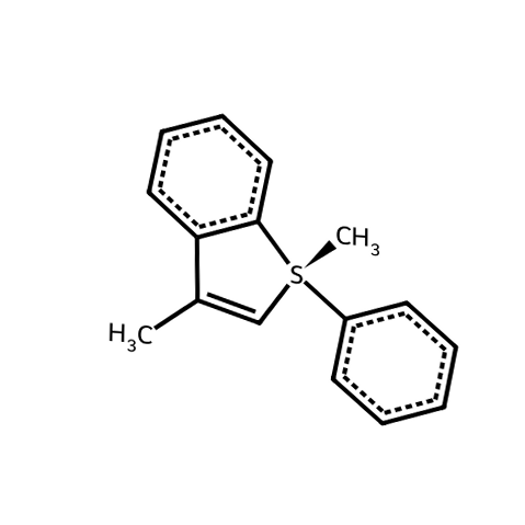 CC1=C[S@@](C)(c2ccccc2)c2ccccc21